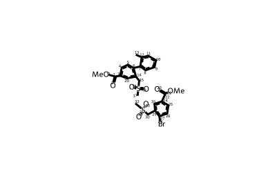 COC(=O)c1ccc(-c2ccccc2C)c(CS(C)(=O)=O)c1.COC(=O)c1ccc(Br)c(CS(C)(=O)=O)c1